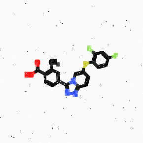 Cc1cc(-c2nnc3ccc(Sc4ccc(F)cc4F)cn23)ccc1C(=O)O